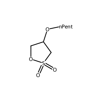 CCCCCOC1COS(=O)(=O)C1